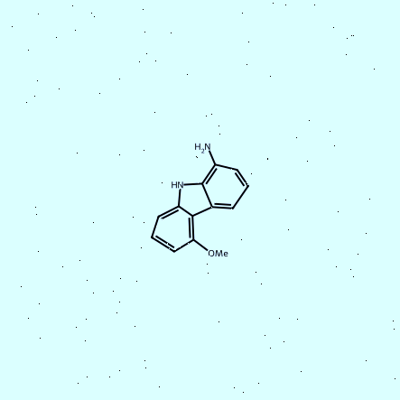 COc1cccc2[nH]c3c(N)cccc3c12